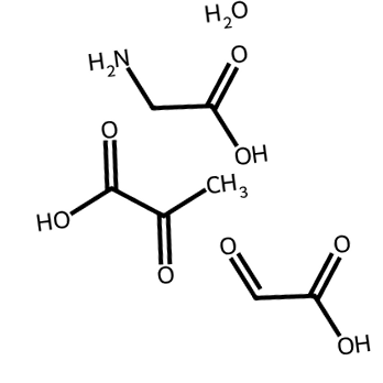 CC(=O)C(=O)O.NCC(=O)O.O.O=CC(=O)O